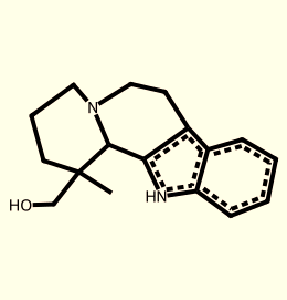 CC1(CO)CCCN2CCc3c([nH]c4ccccc34)C21